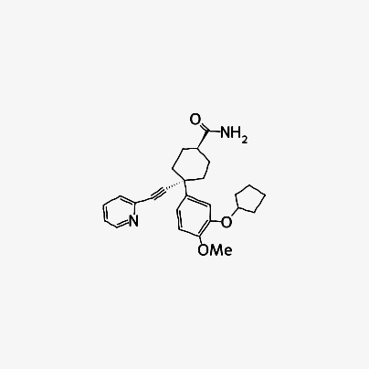 COc1ccc([C@]2(C#Cc3ccccn3)CC[C@H](C(N)=O)CC2)cc1OC1CCCC1